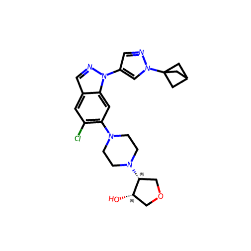 O[C@H]1COC[C@H]1N1CCN(c2cc3c(cnn3-c3cnn(C45CC(C4)C5)c3)cc2Cl)CC1